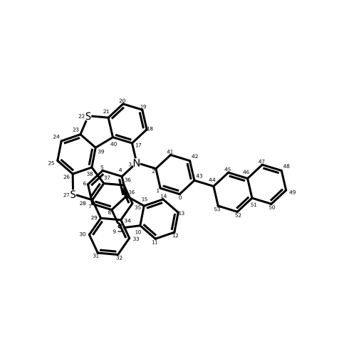 C1=CC(N(c2cccc3sc4ccccc4c23)c2cccc3sc4ccc5sc6c7ccccc7ccc6c5c4c23)CC=C1C1C=c2ccccc2=CC1